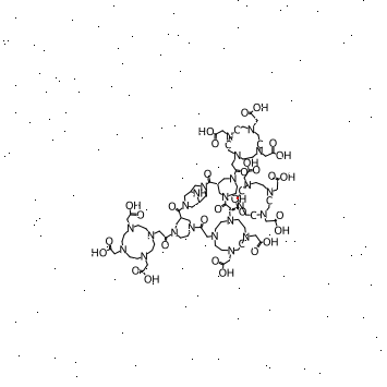 O=C(O)CN1CCN(CC(=O)O)CCN(CC(=O)N2CCN(C(=O)CN3CCN(CC(=O)O)CCN(CC(=O)O)CCN(CC(=O)O)CC3)CC(C(=O)N3CC4CN(C(=O)C5CN(C(=O)CN6CCN(CC(=O)O)CCN(CC(=O)O)CCN(CC(=O)O)CC6)CCN(C(=O)CN6CCN(CC(=O)O)CCN(CC(=O)O)CCN(CC(=O)O)CC6)C5)CC(C3)N4)C2)CCN(CC(=O)O)CC1